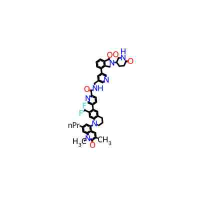 CCCc1cc(N2CCCc3cc(-c4ccc(C(=O)NCc5cncc(-c6cccc7c6CN(C6CCC(=O)NC6=O)C7=O)c5)nc4)c(C(F)F)cc32)c2cc(C)c(=O)n(C)c2c1